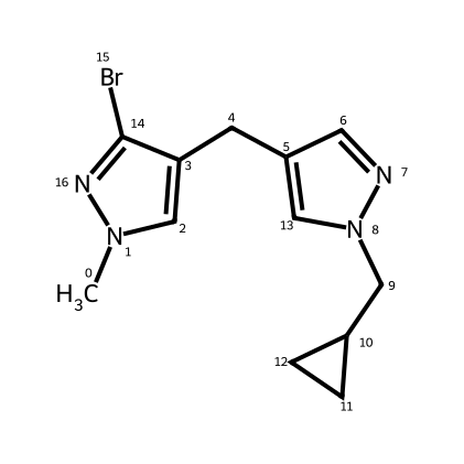 Cn1cc(Cc2cnn(CC3CC3)c2)c(Br)n1